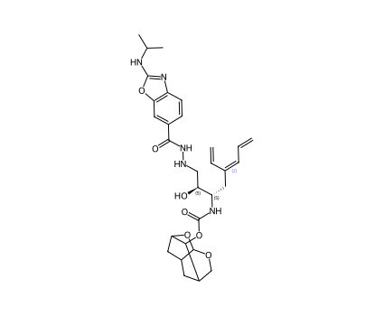 C=C/C=C(\C=C)C[C@H](NC(=O)OC1C2COC3OC1CC3C2)[C@@H](O)CNNC(=O)c1ccc2nc(NC(C)C)oc2c1